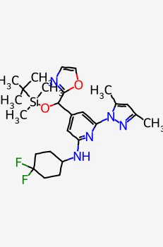 Cc1cc(C)n(-c2cc(C(O[Si](C)(C)C(C)(C)C)c3ncco3)cc(NC3CCC(F)(F)CC3)n2)n1